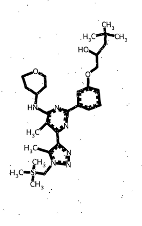 Cc1c(NC2CCOCC2)nc(-c2cccc(OCC(O)[CH]C(C)(C)C)c2)nc1-c1nnn(C[Si](C)(C)C)c1C